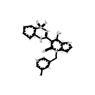 Cc1cncc(Cn2c(=O)c(C3=NS(=O)(=O)c4ccccc4N3)c(O)c3sccc32)c1